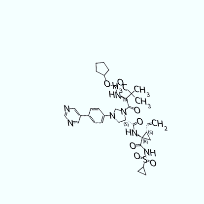 C=C[C@@H]1C[C@]1(NC(=O)[C@@H]1CN(c2ccc(-c3cncnc3)cc2)CN1C(=O)[C@@H](NC(=O)OC1CCCC1)C(C)(C)C)C(=O)NS(=O)(=O)C1CC1